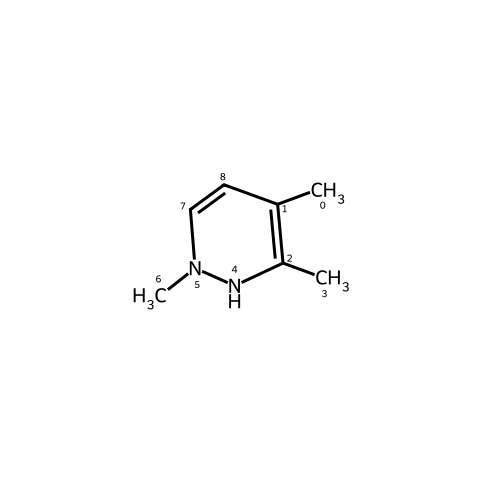 CC1=C(C)NN(C)C=C1